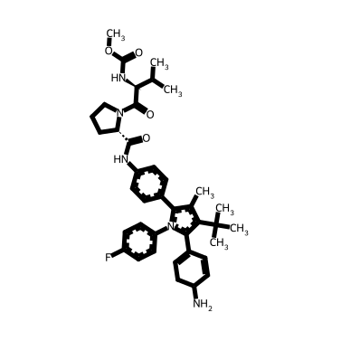 COC(=O)N[C@H](C(=O)N1CCC[C@H]1C(=O)Nc1ccc(-c2c(C)c(C(C)(C)C)c(C3=CCC(N)C=C3)n2-c2ccc(F)cc2)cc1)C(C)C